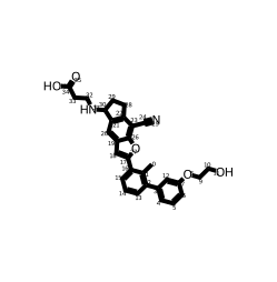 Cc1c(-c2cccc(OCCO)c2)cccc1-c1cc2cc3c(c(C#N)c2o1)CCC3NCCC(=O)O